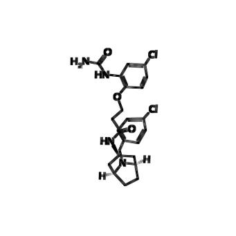 NC(=O)Nc1cc(Cl)ccc1OCCC(=O)N[C@H]1C[C@H]2CC[C@@H](C1)N2Cc1ccc(Cl)cc1